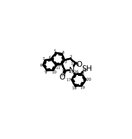 O=C1Cc2ccc3ccccc3c2C(=O)N1c1ccccc1S